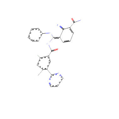 N=C1C(C(N)=O)=CC=C/C1=C(\NC(=O)c1cc(-c2ncccn2)c(C(F)(F)F)cc1F)Nc1ccccc1